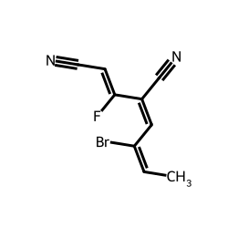 C\C=C(Br)/C=C(C#N)\C(F)=C\C#N